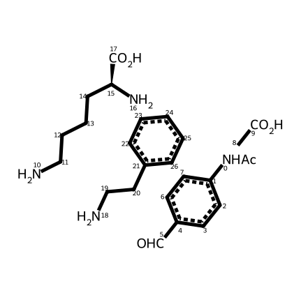 CC(=O)Nc1ccc(C=O)cc1.CC(=O)O.NCCCC[C@H](N)C(=O)O.NCCc1ccccc1